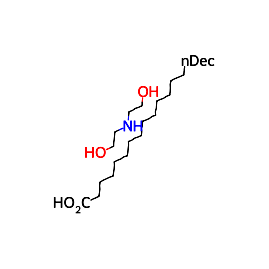 CCCCCCCCCCCCCCCCCCCCCCCC(=O)O.OCCNCCO